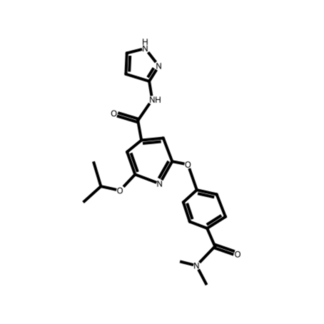 CC(C)Oc1cc(C(=O)Nc2cc[nH]n2)cc(Oc2ccc(C(=O)N(C)C)cc2)n1